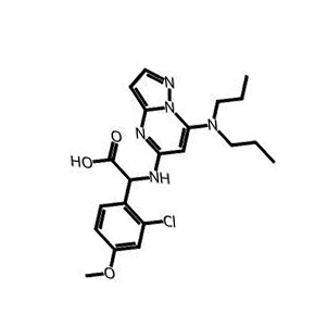 CCCN(CCC)c1cc(NC(C(=O)O)c2ccc(OC)cc2Cl)nc2ccnn12